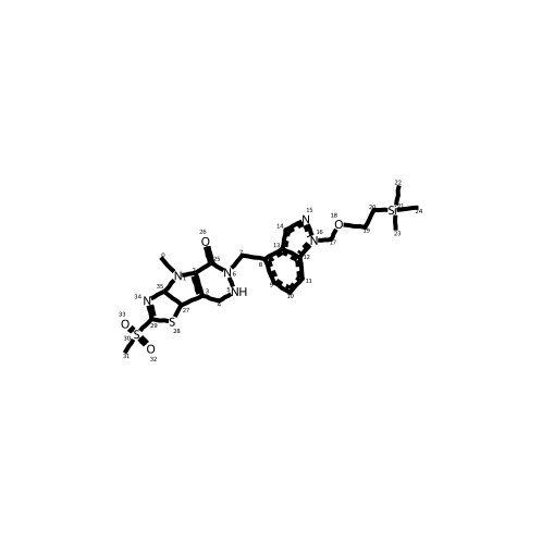 CN1C2=C(CNN(Cc3cccc4c3cnn4COCC[Si](C)(C)C)C2=O)C2SC(S(C)(=O)=O)=NC21